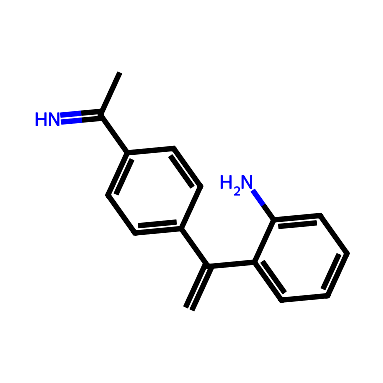 C=C(c1ccc(C(C)=N)cc1)c1ccccc1N